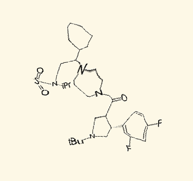 CC(C)N(CC(C1CCCCC1)N1CCN(C(=O)C2CN(C(C)(C)C)C[C@H]2c2ccc(F)cc2F)CC1)S(C)(=O)=O